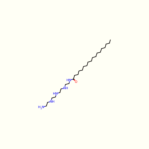 CCCCCCCCCCCCCCCCCC(=O)NCCNCCNCCNCCN